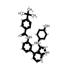 CC(C)(C)c1ccc(C(=O)Nc2cccc(-c3ccnc4[nH]nc(NC5CCC(O)CC5)c34)c2)cc1